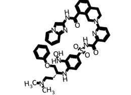 CN(C)CC[C@H](COc1ccccc1)Nc1ccc(S(=O)(=O)NC(=O)c2cccc(N3CCc4cccc(C(=O)Nc5cn6ccccc6n5)c4C3)n2)cc1NO